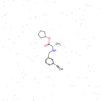 C#Cc1cccc(CN[C@@H](C)C(=O)OC2CCCC2)c1